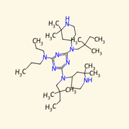 CCCN(CCC)c1nc(N(CC(C)(C)CC)C2CCNC(C)(C)C2)nc(N(CC(C)(C)CC)C2CCNC(C)(C)C2)n1